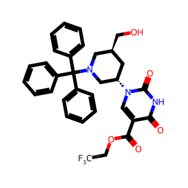 O=C(OCC(F)(F)F)c1cn([C@H]2C[C@H](CO)CN(C(c3ccccc3)(c3ccccc3)c3ccccc3)C2)c(=O)[nH]c1=O